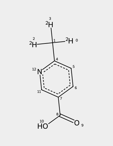 [2H]C([2H])([2H])c1ccc(C(=O)O)cn1